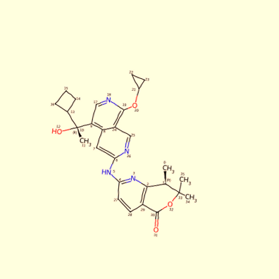 C[C@@H]1c2nc(Nc3cc4c([C@](C)(O)C5CCC5)cnc(OC5CC5)c4cn3)ccc2C(=O)OC1(C)C